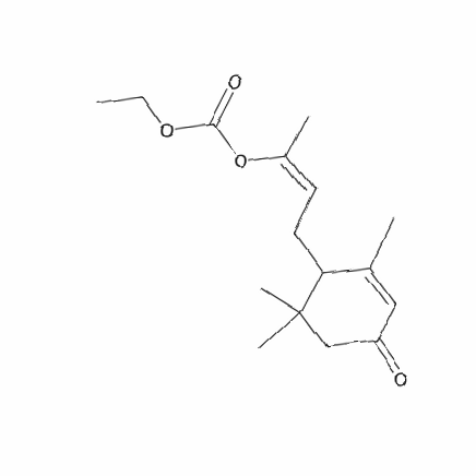 CCOC(=O)OC(C)=CCC1C(C)=CC(=O)CC1(C)C